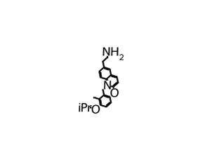 Cc1c(Oc2ccc3cc(CCN)ccc3n2)ccc(OC(C)C)c1C